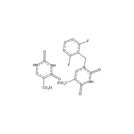 CCOC(=O)c1c[nH]c(=O)[nH]c1=O.CCOC(=O)c1cn(Cc2c(F)cccc2F)c(=O)[nH]c1=O